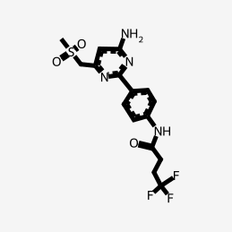 CS(=O)(=O)Cc1cc(N)nc(-c2ccc(NC(=O)CCC(F)(F)F)cc2)n1